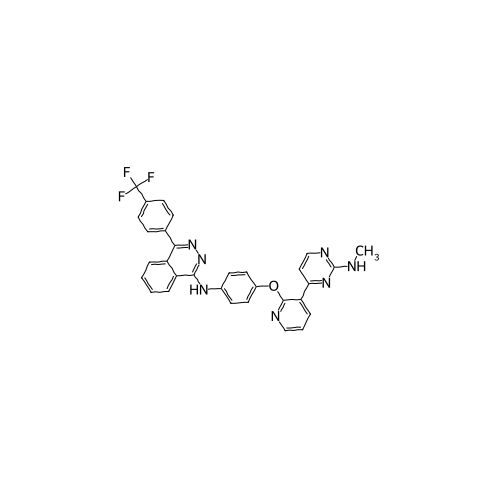 CNc1nccc(-c2cccnc2Oc2ccc(Nc3nnc(-c4ccc(C(F)(F)F)cc4)c4ccccc34)cc2)n1